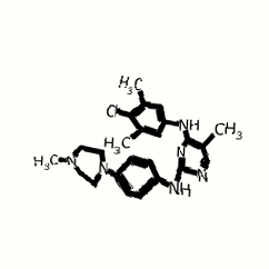 Cc1cnc(Nc2ccc(N3CCN(C)CC3)cc2)nc1Nc1cc(C)c(Cl)c(C)c1